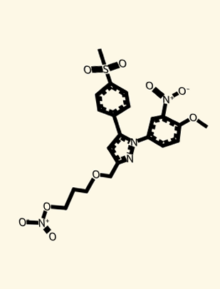 COc1ccc(-n2nc(COCCCO[N+](=O)[O-])cc2-c2ccc(S(C)(=O)=O)cc2)cc1[N+](=O)[O-]